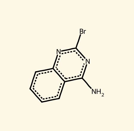 Nc1nc(Br)nc2ccccc12